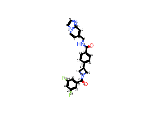 O=C(NCc1ccn2ccnc2c1)c1ccc(C2CN(C(=O)c3cc(F)cc(F)c3)C2)cc1